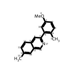 COc1ccc(C)c(-c2cc3ccc(C)cc3cn2)c1